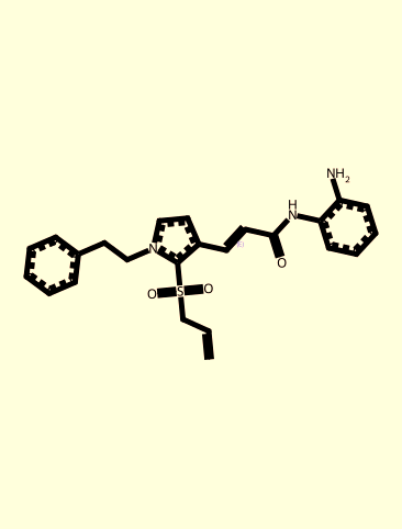 C=CCS(=O)(=O)c1c(/C=C/C(=O)Nc2ccccc2N)ccn1CCc1ccccc1